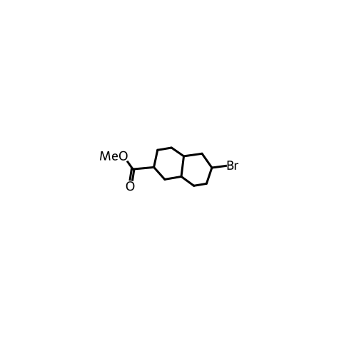 COC(=O)C1CCC2CC(Br)CCC2C1